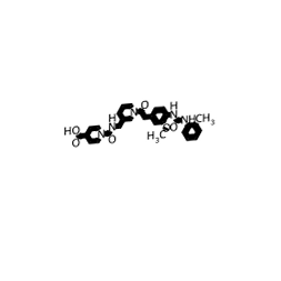 COc1cc(CC(=O)N2CCCC(CNC(=O)N3CCC(C(=O)O)CC3)C2)ccc1NC(=O)Nc1ccccc1C